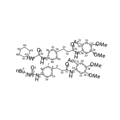 CCCCNC(=O)Nc1ccc(CCC(=O)Nc2cc(OC)c(OC)cc2C(C)=O)cc1.COc1cc(NC(=O)CCc2ccc(NC(=O)NC3CCCCC3)cc2)c(C(C)=O)cc1OC